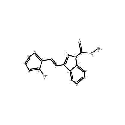 CC(C)(C)OC(=O)n1nc(C=Cc2ccccc2Br)c2ccccc21